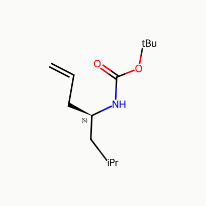 C=CC[C@H](CC(C)C)NC(=O)OC(C)(C)C